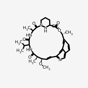 CO[C@@H]1/C=C/c2cc3cc(ccc3cn2)[C@@H](C)OC(=O)[C@]2(C)CCCN(N2)C(=O)C(C)NC(=O)C(C(C)C)NC(=O)[C@@H]1C